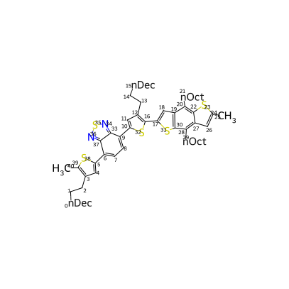 CCCCCCCCCCCCc1cc(-c2ccc(-c3cc(CCCCCCCCCCCC)c(-c4cc5c(CCCCCCCC)c6sc(C)cc6c(CCCCCCCC)c5s4)s3)c3nsnc23)sc1C